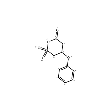 O=S1CC(Oc2ccccc2)CS(=O)(=O)O1